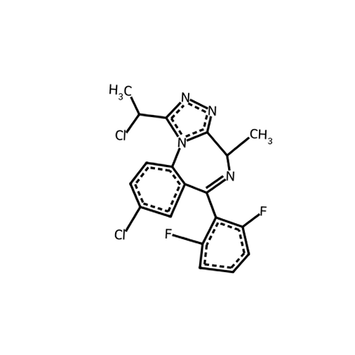 CC(Cl)c1nnc2n1-c1ccc(Cl)cc1C(c1c(F)cccc1F)=NC2C